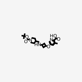 Cc1cc(OC2CC(NCC3CCN(C(=O)OC(C)(C)C)CC3)C2)cnc1C(=O)O